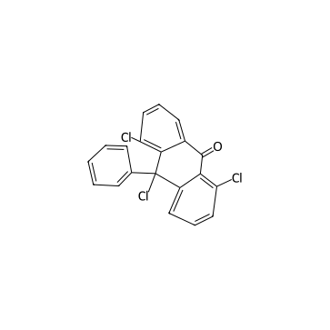 O=C1c2cccc(Cl)c2C(Cl)(c2ccccc2)c2cccc(Cl)c21